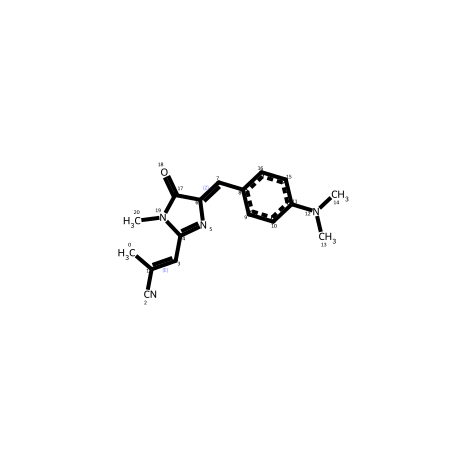 C/C(C#N)=C\C1=NC(=C\c2ccc(N(C)C)cc2)/C(=O)N1C